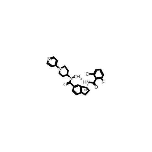 CN(C(=O)c1ccc2c(c1)[C@H](NC(=O)c1c(F)cccc1Cl)CC2)C1CCN(c2ccncc2)CC1